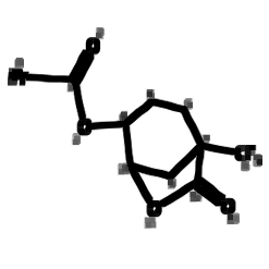 CC(C)C(=O)OC1CCC2(C(F)(F)F)CC1OC2=O